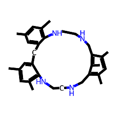 Cc1cc(C)c2c(c1)Cc1cc(C)cc(C)c1NCCNCc1c(C)cc(C)c(c1C)CNCCN2